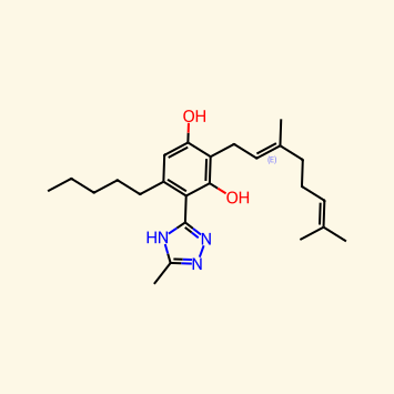 CCCCCc1cc(O)c(C/C=C(\C)CCC=C(C)C)c(O)c1-c1nnc(C)[nH]1